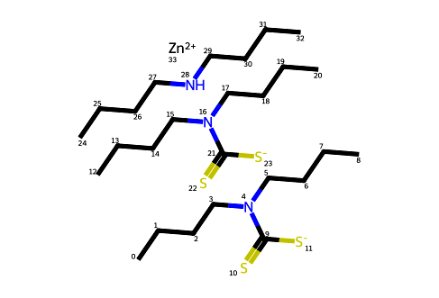 CCCCN(CCCC)C(=S)[S-].CCCCN(CCCC)C(=S)[S-].CCCCNCCCC.[Zn+2]